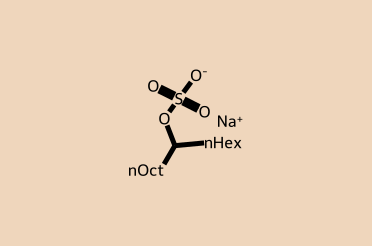 CCCCCCCCC(CCCCCC)OS(=O)(=O)[O-].[Na+]